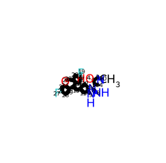 CN1C[C@@H](O)[C@@H](n2c(=N)[nH]c3cc(/C=C4\c5ccc(F)cc5COc5cc(F)ccc54)ccc32)C1